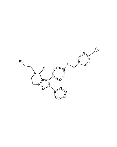 O=C1c2c(-c3ccc(OCc4ccc(C5CC5)nc4)cc3)c(-c3ccncn3)nn2CCN1CCO